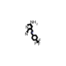 N#Cc1ncc(N)cc1/C=C/C1CCC(C(F)(F)F)CC1